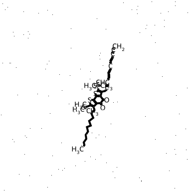 C=C=C=C=C=C=C=C=C=C=C=Cc1c([Si](C)(C)C)sc2c1C(=O)C(=O)c1c-2sc([Si](C)(C)C)c1CCCCCCCCCCCC